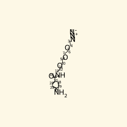 [N-]=[N+]=NCCOCCOCCOCCNC(=O)c1ccc(N)cc1